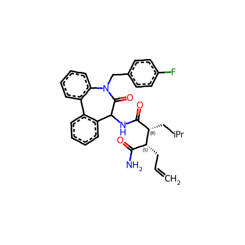 C=CC[C@H](C(N)=O)[C@@H](CC(C)C)C(=O)NC1C(=O)N(Cc2ccc(F)cc2)c2ccccc2-c2ccccc21